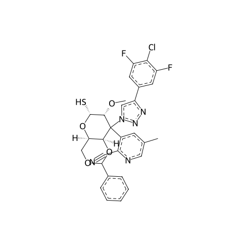 CO[C@H]1[C@@H](S)O[C@@H]2COC(c3ccccc3)O[C@@H]2C1(c1cc(C)cnc1C#N)n1cc(-c2cc(F)c(Cl)c(F)c2)nn1